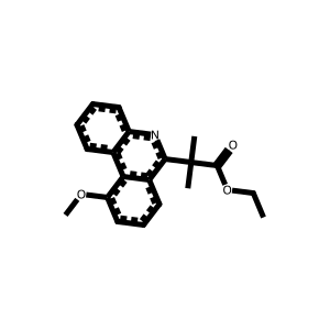 CCOC(=O)C(C)(C)c1nc2ccccc2c2c(OC)cccc12